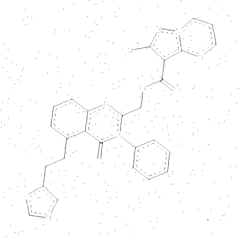 C[C@@H](NC(=O)c1c(N)nn2cccnc12)c1nc2cccc(CCc3cncs3)c2c(=O)n1-c1ccccc1